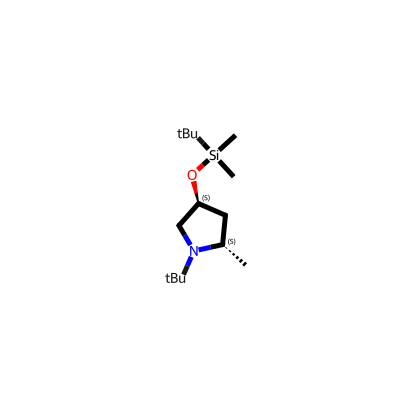 C[C@H]1C[C@H](O[Si](C)(C)C(C)(C)C)CN1C(C)(C)C